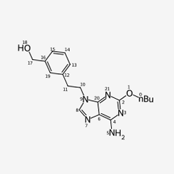 CCCCOc1nc(N)c2ncn(CCc3cccc(CO)c3)c2n1